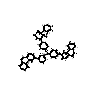 c1cc(-c2ccc3ccc4ccccc4c3c2)cc(N(c2ccc(-c3ccc4ccc5ccccc5c4c3)cc2)c2ccc(-c3cccc4c3sc3ccccc34)cc2)c1